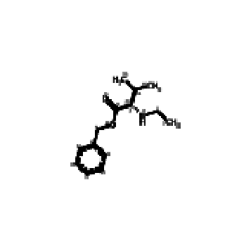 CCN[C@H](C(=O)OCc1ccccc1)C(C)C